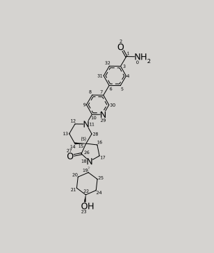 NC(=O)c1ccc(-c2ccc(N3CCC[C@]4(CCN([C@H]5CC[C@H](O)CC5)C4=O)C3)nc2)cc1